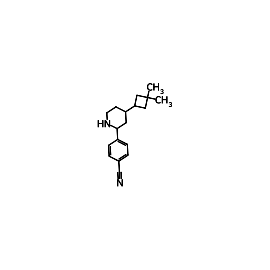 CC1(C)CC(C2CCNC(c3ccc(C#N)cc3)C2)C1